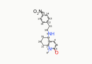 Cn1c2c(ccc1=O)C(NCCc1ccc([N+](=O)[O-])cc1)CCC2